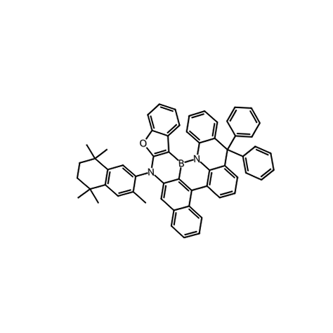 Cc1cc2c(cc1N1c3cc4ccccc4c4c3B(c3c1oc1ccccc31)N1c3ccccc3C(c3ccccc3)(c3ccccc3)c3cccc-4c31)C(C)(C)CCC2(C)C